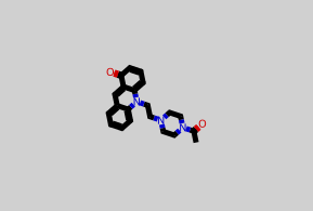 CC(=O)N1CCN(CCn2c3cccc(=O)c-3cc3ccccc32)CC1